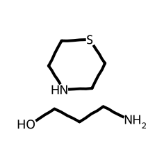 C1CSCCN1.NCCCO